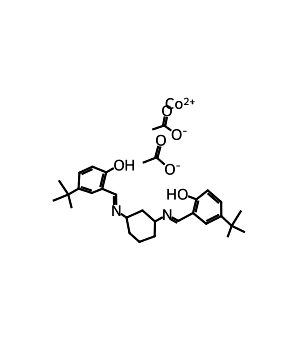 CC(=O)[O-].CC(=O)[O-].CC(C)(C)c1ccc(O)c(C=NC2CCCC(N=Cc3cc(C(C)(C)C)ccc3O)C2)c1.[Co+2]